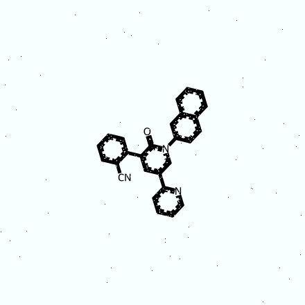 N#Cc1ccccc1-c1cc(-c2ccccn2)cn(-c2ccc3ccccc3c2)c1=O